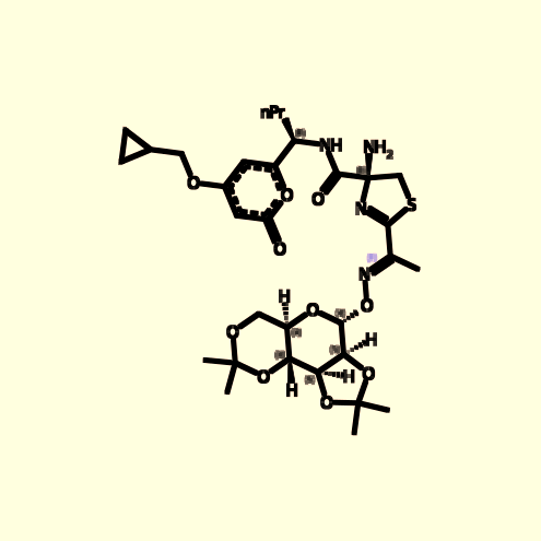 CCC[C@@H](NC(=O)[C@]1(N)CSC(/C(C)=N/O[C@H]2O[C@@H]3COC(C)(C)O[C@H]3[C@@H]3OC(C)(C)O[C@H]23)=N1)c1cc(OCC2CC2)cc(=O)o1